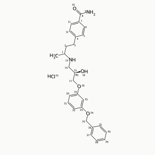 CC(CCc1ccc(C(N)=O)cc1)NC[C@@H](O)COc1cccc(OCc2ccccc2)c1.Cl